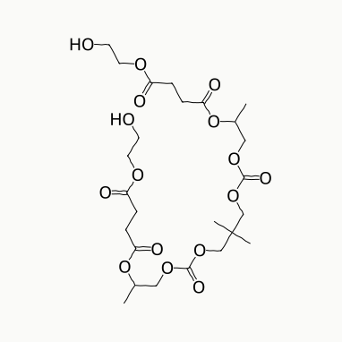 CC(COC(=O)OCC(C)(C)COC(=O)OCC(C)OC(=O)CCC(=O)OCCO)OC(=O)CCC(=O)OCCO